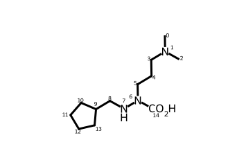 CN(C)CCCN(NCC1CCCC1)C(=O)O